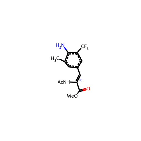 COC(=O)/C(=C/c1cc(C)c(N)c(C(F)(F)F)c1)NC(C)=O